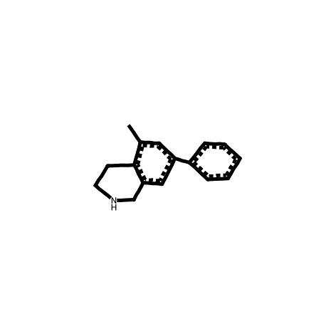 Cc1cc(-c2ccccc2)cc2c1CCNC2